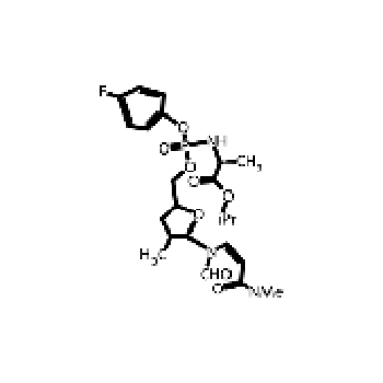 CNC(=O)/C=C\N(C=O)C1OC(COP(=O)(N[C@@H](C)C(=O)OC(C)C)Oc2ccc(F)cc2)CC1C